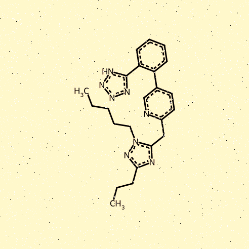 CCCCCn1nc(CCC)nc1Cc1ccc(-c2ccccc2-c2nnn[nH]2)cn1